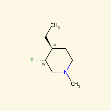 CC[C@H]1CCN(C)C[C@@H]1F